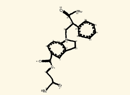 CCCCC(CC)COC(=O)c1ccc2c(c1)CCN2CC(C(=O)C(C)(C)C)c1ccccc1